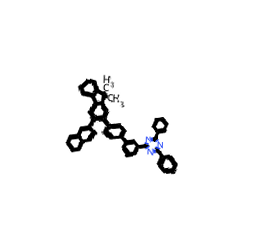 CC1(C)c2ccccc2-c2cc(-c3ccc4ccccc4c3)c(-c3ccc(-c4cccc(-c5nc(-c6ccccc6)nc(-c6ccccc6)n5)c4)cc3)cc21